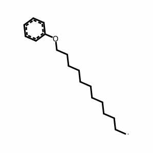 [CH2]CCCCCCCCCCCOc1ccccc1